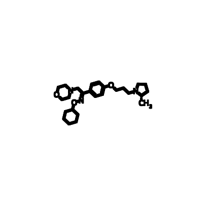 C[C@@H]1CCCN1CCCOc1ccc(/C(CN2CCOCC2)=N/OC2CCCCC2)cc1